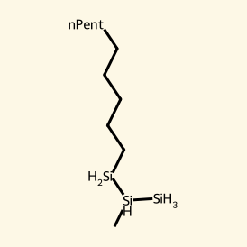 CCCCCCCCCC[SiH2][SiH](C)[SiH3]